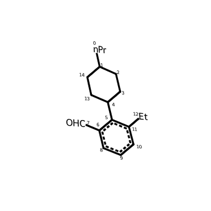 CCCC1CCC(c2c(C=O)cccc2CC)CC1